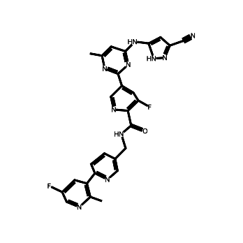 Cc1cc(Nc2cc(C#N)n[nH]2)nc(-c2cnc(C(=O)NCc3ccc(-c4cc(F)cnc4C)nc3)c(F)c2)n1